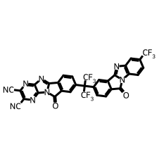 N#Cc1nc2nc3n(c2nc1C#N)C(=O)c1cc(C(c2ccc4c(c2)-c2nc5cc(C(F)(F)F)ccc5n2C4=O)(C(F)(F)F)C(F)(F)F)ccc1-3